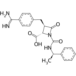 C[C@@H](NC(=O)N1C(=O)[C@H](Cc2ccc(C(=N)N)cc2)[C@H]1C(=O)O)c1ccccc1